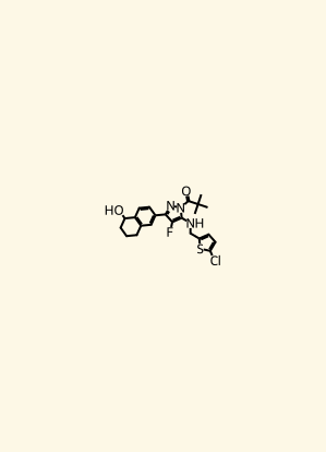 CC(C)(C)C(=O)n1nc(-c2ccc3c(c2)CCCC3O)c(F)c1NCc1ccc(Cl)s1